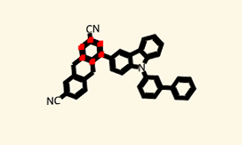 N#Cc1ccc2c(c1)C1c3cc(C#N)ccc3C2c2c(-c3ccc4c(c3)c3ccccc3n4-c3cccc(-c4ccccc4)c3)cccc21